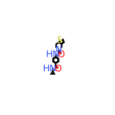 O=C(NC1CC1)c1ccc(NC(=O)N2CCc3sccc3C2)cc1